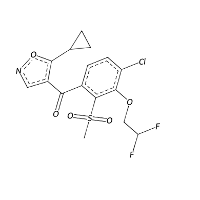 CS(=O)(=O)c1c(C(=O)c2cnoc2C2CC2)ccc(Cl)c1OCC(F)F